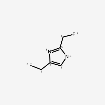 FCC1=[C][N]C(CF)=N1